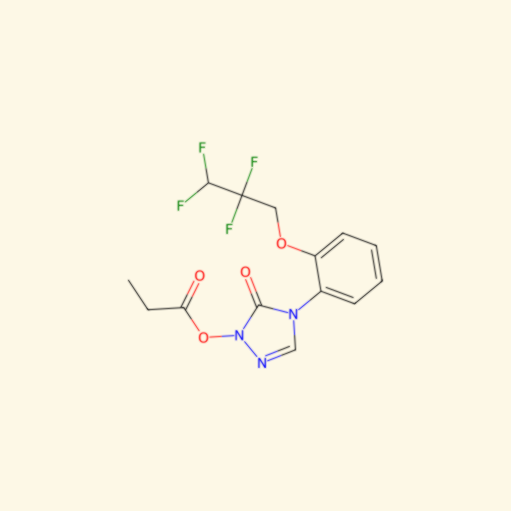 CCC(=O)On1ncn(-c2ccccc2OCC(F)(F)C(F)F)c1=O